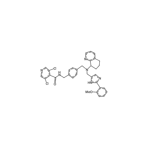 COc1ccccc1-c1ncc(CN(Cc2ccc(CNC(=O)c3c(Cl)cncc3Cl)cc2)C2CCCc3cccnc32)[nH]1